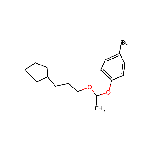 CCC(C)c1ccc(OC(C)OCCCC2CCCC2)cc1